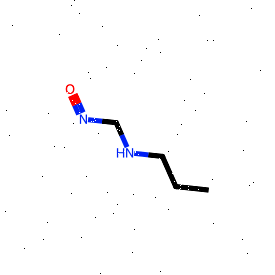 CCCNCN=O